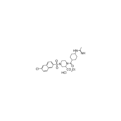 CCOC(=O)C1CN(S(=O)(=O)c2ccc3cc(Cl)ccc3c2)CCN1C(=O)C1CCC(NC(C)=N)CC1.Cl